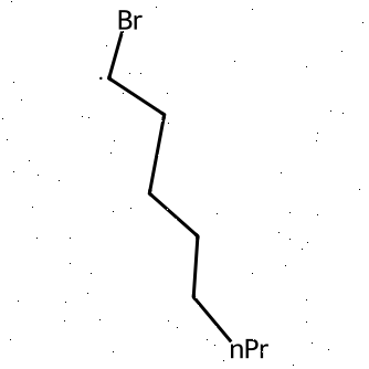 [CH2]CCCCCC[CH]Br